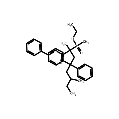 CCOP(C)(=O)C(C)(CC(CC(C)CC)(c1ccccc1)c1ccccc1)C(=O)OCc1ccccc1